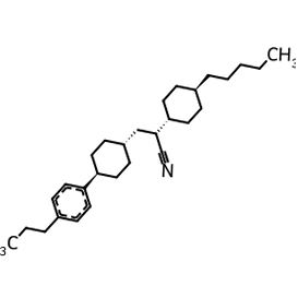 CCCCC[C@H]1CC[C@H](C(C#N)C[C@H]2CC[C@H](c3ccc(CCC)cc3)CC2)CC1